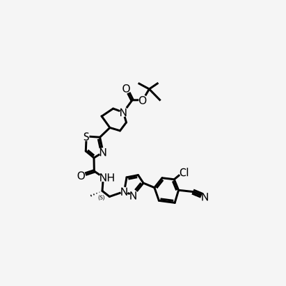 C[C@@H](Cn1ccc(-c2ccc(C#N)c(Cl)c2)n1)NC(=O)c1csc(C2CCN(C(=O)OC(C)(C)C)CC2)n1